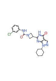 O=C(Nc1cccc(Cl)c1)N1CC(c2nc3c(cnn3C3CCCCC3)c(=O)[nH]2)C1